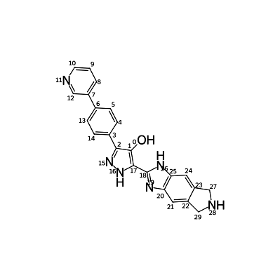 Oc1c(-c2ccc(-c3cccnc3)cc2)n[nH]c1-c1nc2cc3c(cc2[nH]1)CNC3